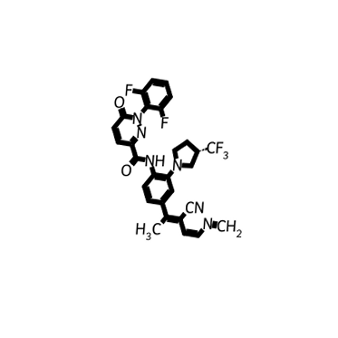 C=N/C=C\C(C#N)=C(/C)c1ccc(NC(=O)c2ccc(=O)n(-c3c(F)cccc3F)n2)c(N2CC[C@H](C(F)(F)F)C2)c1